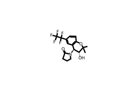 CC1(C)Oc2ccc(C(F)(F)C(F)(F)F)cc2[C@H](N2CCCC2=O)[C@H]1O